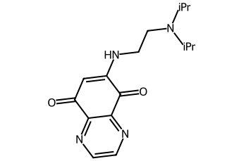 CC(C)N(CCNC1=CC(=O)c2nccnc2C1=O)C(C)C